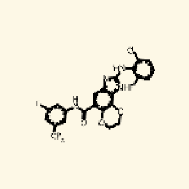 O=C(Nc1cc(F)cc(C(F)(F)F)c1)c1cc2nc(Nc3c(F)cccc3Cl)[nH]c2c2c1OCCO2